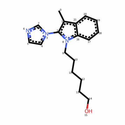 Cc1c(-n2ccnc2)n(CCCCCCO)c2ccccc12